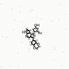 CC(=O)N1C[C@H](O)C[C@@H]1c1nc(-c2ccc3c(c2)OCCO3)c2cnc3[nH]ccc3n12